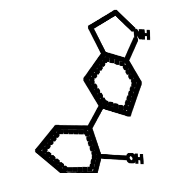 Oc1ccccc1-c1ccc2c(c1)CCN2